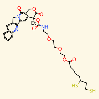 CCC1(OC(=O)NCCOCCOCCOC(=O)CCCCC(S)CCS)C(=O)OCc2c1cc1n(c2=O)Cc2cc3ccccc3nc2-1